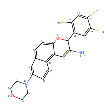 NC1=Cc2c(ccc3cc(N4CCOCC4)ccc23)OC1c1cc(F)c(F)cc1F